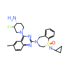 Cc1ccc2nc(N3CCS(=O)(=NC4CC4)c4ccccc4C3)nc(N3CC[C@@H](N)[C@H](F)C3)c2c1